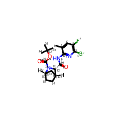 Cc1cc(F)c(Br)nc1NC(=O)[C@@H]1[C@@H]2CC[C@@H](C2)N1C(=O)OC(C)(C)C